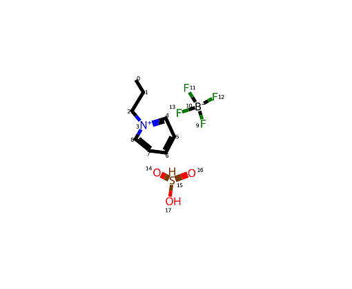 CCC[n+]1ccccc1.F[B-](F)(F)F.O=[SH](=O)O